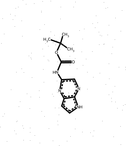 CC(C)(C)OC(=O)Nc1cnc2[nH]ccc2n1